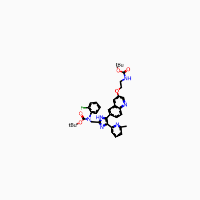 Cc1cccc(-c2nc(CN(C(=O)OC(C)(C)C)c3ccccc3F)[nH]c2-c2ccc3ncc(OCCNC(=O)OC(C)(C)C)cc3c2)n1